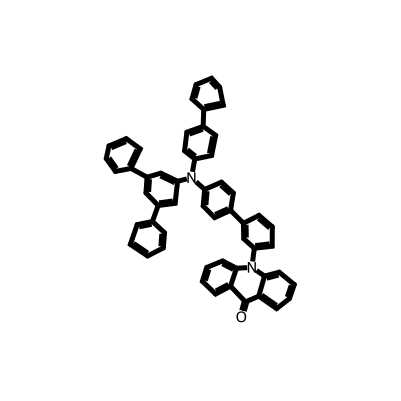 O=c1c2ccccc2n(-c2cccc(-c3ccc(N(c4ccc(-c5ccccc5)cc4)c4cc(-c5ccccc5)cc(-c5ccccc5)c4)cc3)c2)c2ccccc12